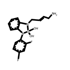 NCC=CCN1c2ccccc2N(c2ccc(F)cc2F)S1(O)O